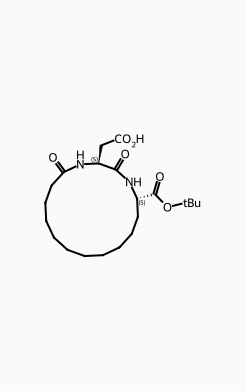 CC(C)(C)OC(=O)[C@@H]1CCCCCCCCCCC(=O)N[C@@H](CC(=O)O)C(=O)N1